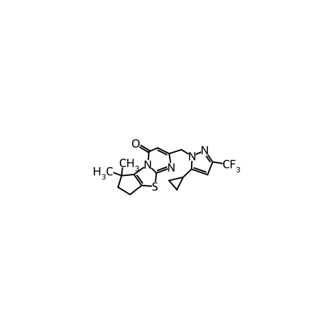 CC1(C)CCc2sc3nc(Cn4nc(C(F)(F)F)cc4C4CC4)cc(=O)n3c21